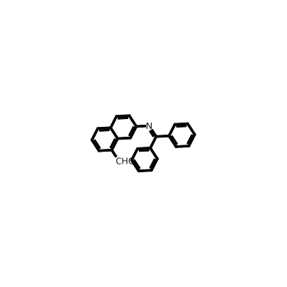 O=Cc1cccc2ccc(N=C(c3ccccc3)c3ccccc3)cc12